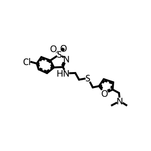 CN(C)Cc1ccc(CSCCNC2=NS(=O)(=O)c3cc(Cl)ccc32)o1